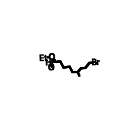 CCO[PH](=O)CCCCC(C)CCCBr